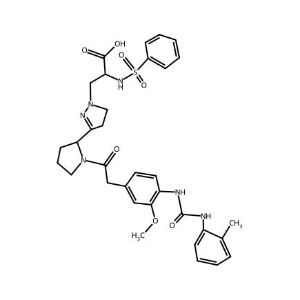 COc1cc(CC(=O)N2CCCC2C2=NN(CC(NS(=O)(=O)c3ccccc3)C(=O)O)CC2)ccc1NC(=O)Nc1ccccc1C